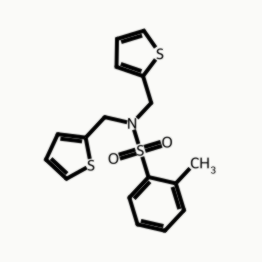 Cc1ccccc1S(=O)(=O)N(Cc1cccs1)Cc1cccs1